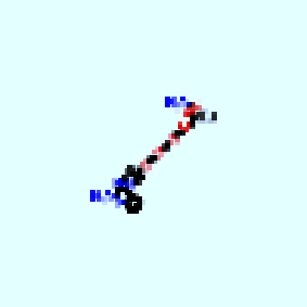 CCCCc1nc2c(N)nc3ccccc3c2n1CC(C)(C)COCCOCCOCCOCC(OC(N)=O)C(C)(C)C